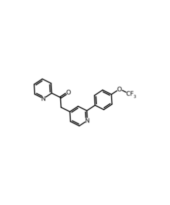 O=C(Cc1ccnc(-c2ccc(OC(F)(F)F)cc2)c1)c1ccccn1